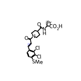 CSc1ccc(/C=C/C(=O)N2CCC(C(=O)NC(C(=O)O)C(C)C)CC2)c(Cl)c1Cl